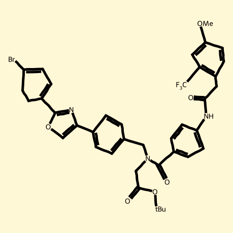 COc1ccc(CC(=O)Nc2ccc(C(=O)N(CC(=O)OC(C)(C)C)Cc3ccc(-c4coc(C5=CC=C(Br)CC5)n4)cc3)cc2)c(C(F)(F)F)c1